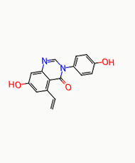 C=Cc1cc(O)cc2ncn(-c3ccc(O)cc3)c(=O)c12